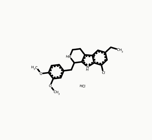 CCc1cc(Cl)c2[nH]c3c(c2c1)CCNC3Cc1ccc(OC)c(OC)c1.Cl